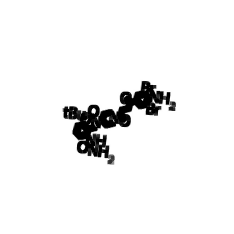 CC(C)(C)OC(=O)N(Cc1ccccc1NC(N)=O)C1CCN(C(=O)CCC(=O)c2cc(Br)c(N)c(Br)c2)CC1